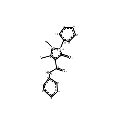 Cc1c(C(=O)Nc2ccccc2)c(=O)n(-c2ccccc2)n1C